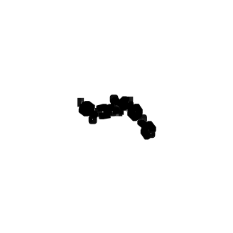 O=C(c1ccc(F)cc1)N1CCC(O)(Cn2cnc3c(cnn3-c3ccc(OCC4CCOCC4)cc3)c2=O)CC1